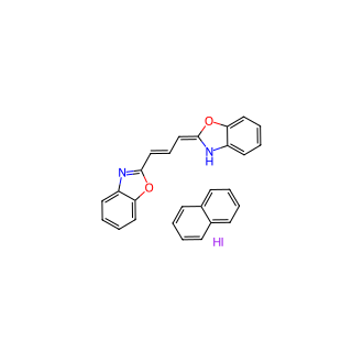 C(=Cc1nc2ccccc2o1)C=C1Nc2ccccc2O1.I.c1ccc2ccccc2c1